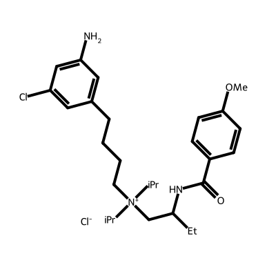 CCC(C[N+](CCCCc1cc(N)cc(Cl)c1)(C(C)C)C(C)C)NC(=O)c1ccc(OC)cc1.[Cl-]